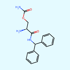 NC(=O)OC[C@H](N)C(=O)NC(c1ccccc1)c1ccccc1